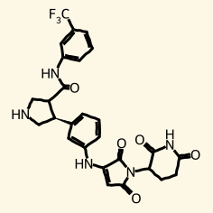 O=C1CCC(N2C(=O)C=C(Nc3cccc([C@H]4CNCC4C(=O)Nc4cccc(C(F)(F)F)c4)c3)C2=O)C(=O)N1